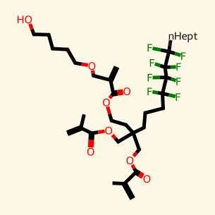 C=C(C)C(=O)OCC(CCCC(F)(F)C(F)(F)C(F)(F)C(F)(F)CCCCCCC)(CCOC(=O)C(=C)COCCCCCO)COC(=O)C(=C)C